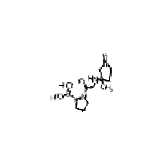 CC1(NCC(=O)N2CCC[C@H]2B(O)O)CCNC1